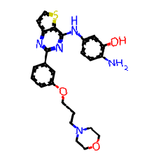 Nc1ccc(Nc2nc(-c3cccc(OCCCN4CCOCC4)c3)nc3ccsc23)cc1O